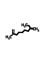 C=C(CC)CCCCCNC